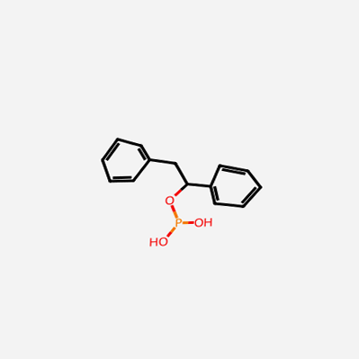 OP(O)OC(Cc1ccccc1)c1ccccc1